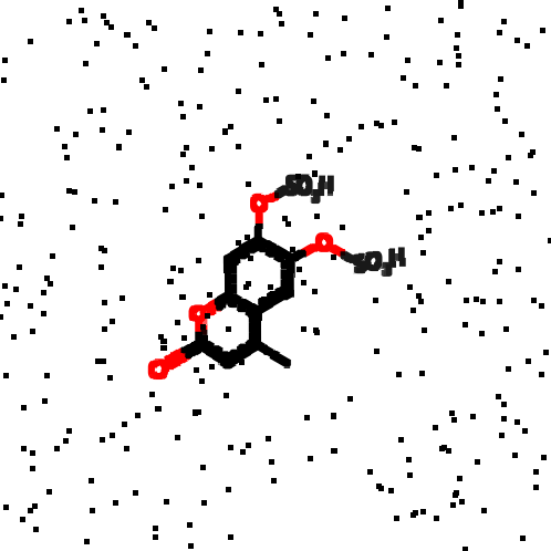 Cc1cc(=O)oc2cc(OS(=O)(=O)O)c(OS(=O)(=O)O)cc12